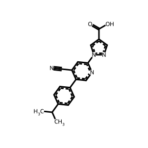 CC(C)c1ccc(-c2cnc(-n3cc(C(=O)O)cn3)cc2C#N)cc1